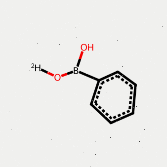 [2H]OB(O)c1ccccc1